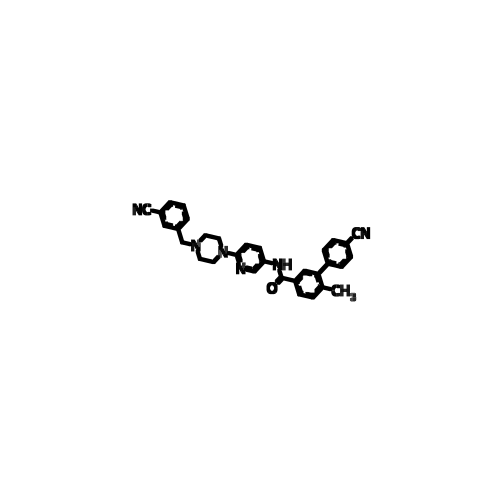 Cc1ccc(C(=O)Nc2ccc(N3CCN(Cc4cccc(C#N)c4)CC3)nc2)cc1-c1ccc(C#N)cc1